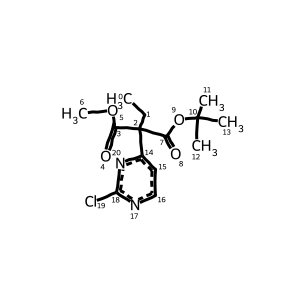 CCC(C(=O)OC)(C(=O)OC(C)(C)C)c1ccnc(Cl)n1